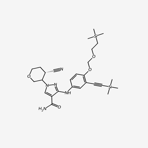 C[Si](C)(C)C#Cc1cc(Nc2nn(C3COCC[C@@H]3C#N)cc2C(N)=O)ccc1OCOCC[Si](C)(C)C